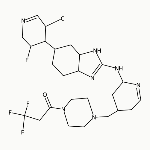 O=C(CC(F)(F)F)N1CCN(CC2CC=NC(NC3=NC4CCC(C5C(Cl)C=NCC5F)CC4N3)C2)CC1